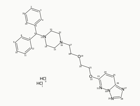 Cl.Cl.c1ccc(C(c2ccccc2)N2CCN(CCOCCOc3ccc4ncnn4n3)CC2)cc1